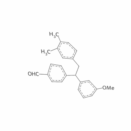 COc1cccc(C(Cc2ccc(C)c(C)c2)c2ccc(C=O)cc2)c1